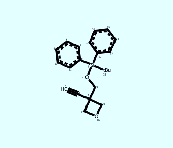 C#CC1(CO[Si](c2ccccc2)(c2ccccc2)C(C)(C)C)COC1